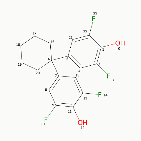 Oc1c(F)cc(C2(c3cc(F)c(O)c(F)c3)CCCCC2)cc1F